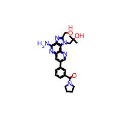 CC(C)(O)Cn1c(CO)nc2c(N)nc3cc(-c4cccc(C(=O)N5CCCC5)c4)cnc3c21